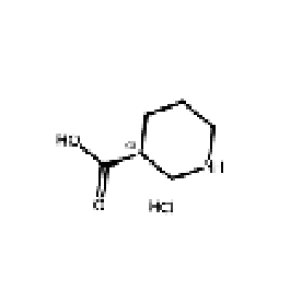 Cl.O=C(O)[C@H]1CCCNC1